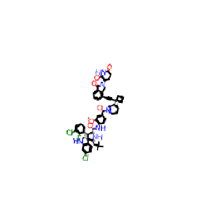 COc1cc(C(=O)N2CCC[C@@H](C3(C#Cc4cccc5c4CN(C4CCC(=O)NC4=O)C5=O)CCC3)C2)ccc1NC(=O)[C@@H]1N[C@@H](CC(C)(C)C)[C@@]2(CNc3cc(Cl)ccc32)[C@H]1c1cccc(Cl)c1F